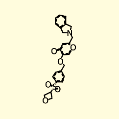 O=c1cc(CN2Cc3ccccc3C2)occ1OCc1ccc(S(=O)(=O)C2COC2)cc1